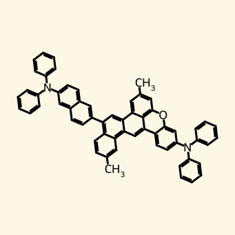 Cc1ccc2c(-c3ccc4cc(N(c5ccccc5)c5ccccc5)ccc4c3)cc3c4cc(C)cc5c4c(cc3c2c1)-c1ccc(N(c2ccccc2)c2ccccc2)cc1O5